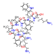 CC(C)C(NC(=O)[C@H](Cc1ccc(O)cc1)NC(=O)[C@H](Cc1ccccc1)N(C)C(=O)[C@@H](N)CCCCN)C(=O)N[C@H](C(=O)NCC(=O)N(C)[C@@H](Cc1c[nH]c2ccccc12)C(=O)N[C@@H](CCCCN)C(=O)O)C(C)C